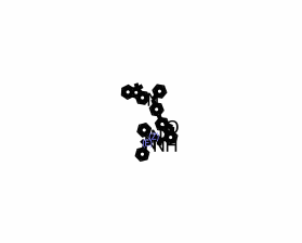 C/C(=N\C(=N/C(=N)c1cccc2oc3cc(-c4ccc(N(c5ccccc5)c5ccc6c(c5)C(C)(C)c5ccccc5-6)cc4)ccc3c12)c1ccccc1)c1ccccc1